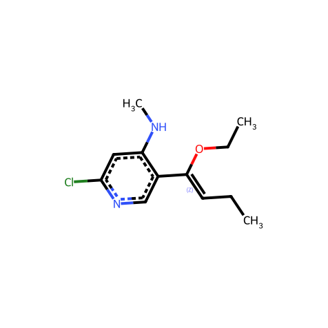 CC/C=C(\OCC)c1cnc(Cl)cc1NC